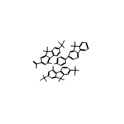 C=C(C)c1cc(N(c2ccc(-c3ccc4c(c3)C(C)(C)c3ccccc3-4)cc2)c2cc(C(C)(C)C)cc3c2-c2ccc(C(C)(C)C)cc2C3(C)C)c2c(c1)C(C)(C)c1cc(C(C)(C)C)ccc1-2